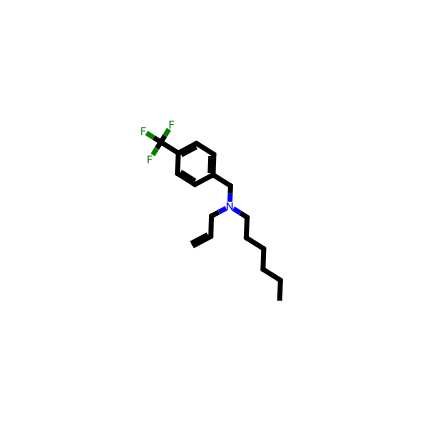 C=CCN(CCCCCC)Cc1ccc(C(F)(F)F)cc1